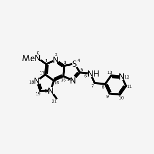 CNc1nc2sc(NCc3cccnc3)nc2c2c1ncn2C